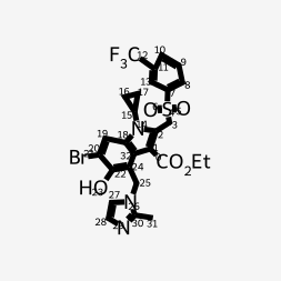 CCOC(=O)c1c(CS(=O)(=O)c2cccc(C(F)(F)F)c2)n(C2CC2)c2cc(Br)c(O)c(Cn3ccnc3C)c12